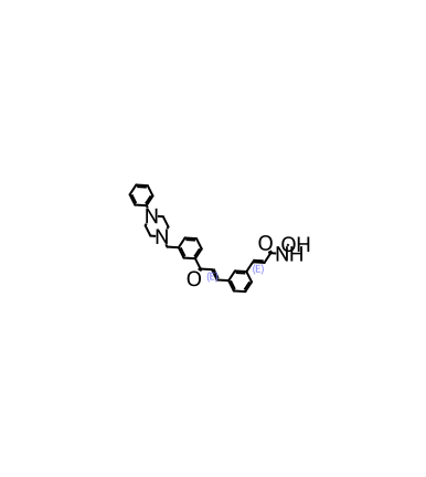 O=C(/C=C/c1cccc(/C=C/C(=O)c2cccc(CN3CCN(c4ccccc4)CC3)c2)c1)NO